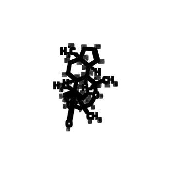 CN1C(=O)CC2OCCO[C@]3(C)C[C@@H]1[C@@]2(C)[C@H]1CC[C@]2(C)CC=C[C@H]2[C@@H]13